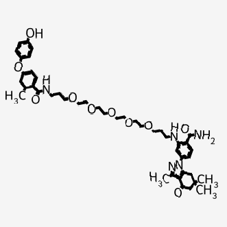 Cc1nn(-c2ccc(C(N)=O)c(NCCCOCCOCCOCCOCCOCCCNC(=O)C3=CC=C(Oc4ccc(O)cc4)CC3C)c2)c2c1C(=O)CC(C)(C)C2